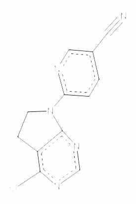 N#Cc1ccc(N2CCc3c(Cl)ncnc32)nc1